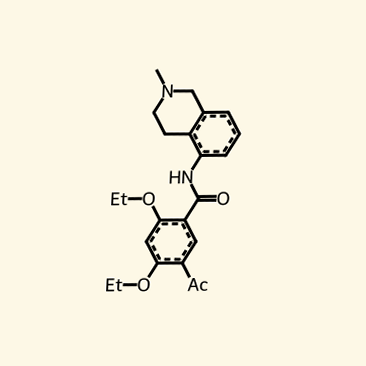 CCOc1cc(OCC)c(C(=O)Nc2cccc3c2CCN(C)C3)cc1C(C)=O